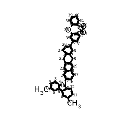 Cc1ccc2c(c1)c1cc(C)ccc1n2-c1ccc2cc3c(cc2c1)Cc1ccc(-c2ccc4c(c2)Oc2ccccc2S4(=O)=O)cc1C3